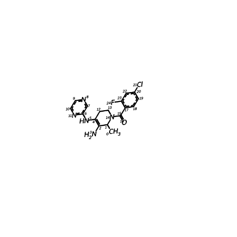 CC1C(N)=C(Nc2cnccn2)CCN1C(=O)c1ccc(Cl)cc1F